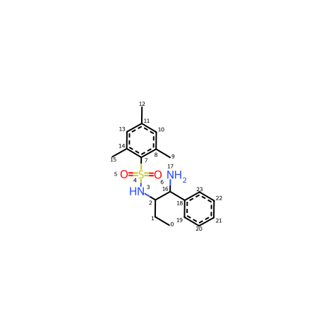 CCC(NS(=O)(=O)c1c(C)cc(C)cc1C)C(N)c1ccccc1